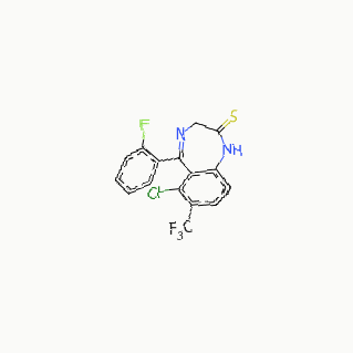 Fc1ccccc1C1=NCC(=S)Nc2ccc(C(F)(F)F)c(Cl)c21